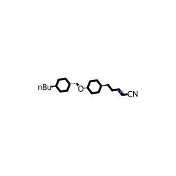 CCCC[C@H]1CC[C@H](CO[C@H]2CC[C@H](CC/C=C/C#N)CC2)CC1